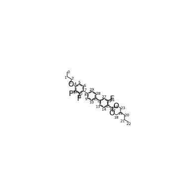 CCCOc1ccc(-c2ccc(-c3ccc(C4OCC(CCC)CO4)c(F)c3)cc2)c(F)c1F